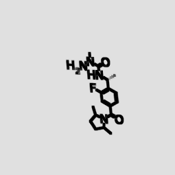 CC1CCC(C)N1C(=O)c1ccc([C@@H](C)NC(=O)N(C)N)c(F)c1